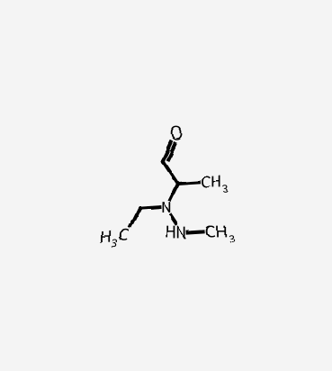 CCN(NC)C(C)C=O